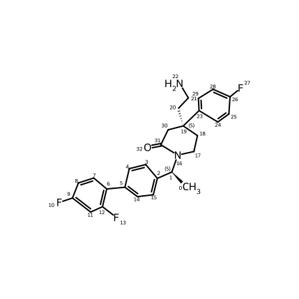 C[C@@H](c1ccc(-c2ccc(F)cc2F)cc1)N1CC[C@](CCN)(c2ccc(F)cc2)CC1=O